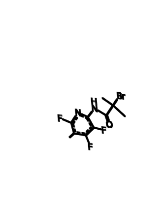 Cc1c(F)nc(NC(=O)C(C)(C)Br)c(F)c1F